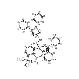 CC(C)(C)c1cccc2c1CCC[C@@]2(NCc1nc(-c2ccccc2)c(-c2ccccc2)o1)O[SiH](c1ccccc1)c1ccccc1